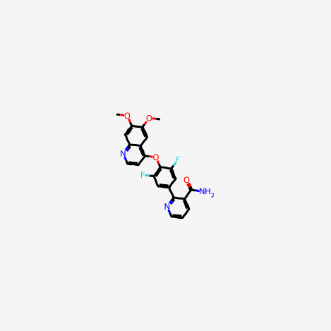 COc1cc2nccc(Oc3c(F)cc(-c4ncccc4C(N)=O)cc3F)c2cc1OC